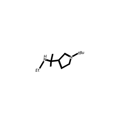 CCNC(C)(C)C1CCN(C(C)(C)C)C1